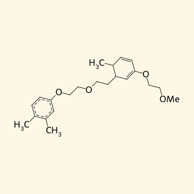 COCCOC1=CC(CCOCCOc2ccc(C)c(C)c2)C(C)C=C1